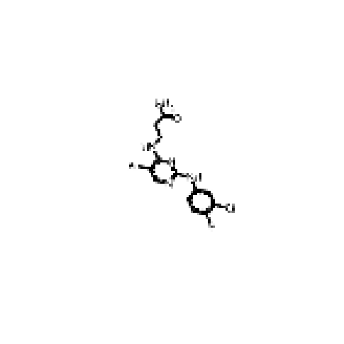 NC(=O)CCNc1nc(Nc2ccc(F)c(Cl)c2)ncc1Br